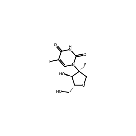 O=c1[nH]c(=O)n([C@@]2(F)CO[C@H](CO)[C@H]2O)cc1I